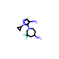 Nc1cnn(C2CC2)c1N1CCC(N)CC(F)(F)C1